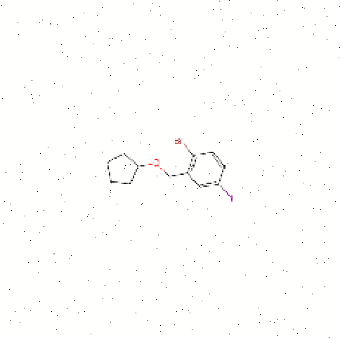 Brc1ccc(I)cc1COC1CCCC1